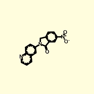 O=C1c2cc([N+](=O)[O-])ccc2CN1c1ccc2ncccc2c1